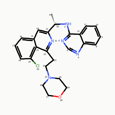 C[C@H](Nc1ncnc2ccccc12)c1cc2cccc(Cl)c2c(CCN2CCOCC2)n1